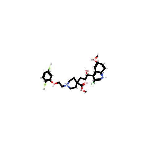 COC(=O)C1(CC[C@@H](O)c2c(Cl)cnc3ccc(OC)cc23)CCN(CCOc2cc(F)ccc2F)CC1